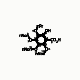 CCCCCCCCCOc1c(OCCC)c(O)c(C(=O)O)c(OCCCCCCCCC)c1OCCCCCCCCC